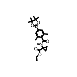 CCOC(=O)C1(N(C)C(=O)c2c(C)cc(B3OC(C)(C)C(C)(C)O3)cc2C)CC1